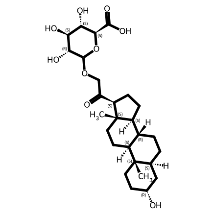 C[C@]12CC[C@@H](O)C[C@@H]1CC[C@@H]1[C@@H]2CC[C@]2(C)[C@@H](C(=O)COC3O[C@H](C(=O)O)[C@@H](O)[C@H](O)[C@H]3O)CC[C@@H]12